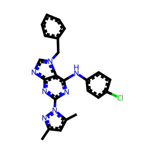 Cc1cc(C)n(-c2nc(Nc3ccc(Cl)cc3)c3c(ncn3Cc3ccccc3)n2)n1